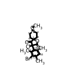 CON1CCC2(CC1)OC(=O)C(Cl)(c1c(C)cc(C)c(Br)c1C)C2=O